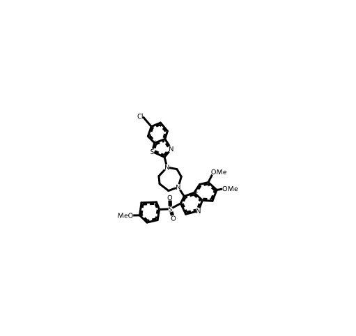 COc1ccc(S(=O)(=O)c2cnc3cc(OC)c(OC)cc3c2N2CCCN(c3nc4ccc(Cl)cc4s3)CC2)cc1